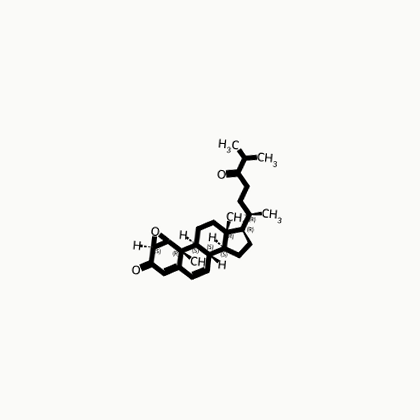 CC(C)C(=O)CC[C@@H](C)[C@H]1CC[C@H]2[C@@H]3C=CC4=CC(=O)[C@H]5OC5[C@]4(C)[C@H]3CC[C@]12C